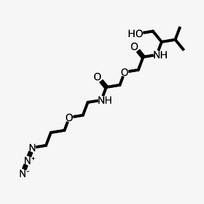 CC(C)C(CO)NC(=O)COCC(=O)NCCOCCCN=[N+]=[N-]